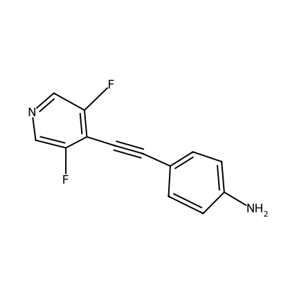 Nc1ccc(C#Cc2c(F)cncc2F)cc1